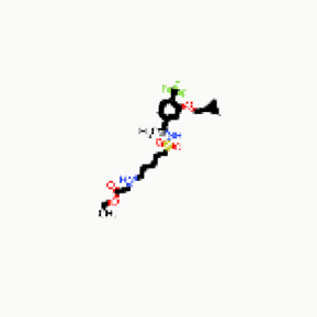 CCOC(=O)CNCCCCCS(=O)(=O)N[C@@H](C)c1ccc(C(F)(F)F)c(OCC2CC2)c1